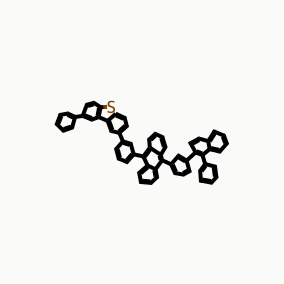 c1ccc(-c2ccc3sc4ccc(-c5cccc(-c6c7ccccc7c(-c7cccc(-c8ccc9ccccc9c8-c8ccccc8)c7)c7ccccc67)c5)cc4c3c2)cc1